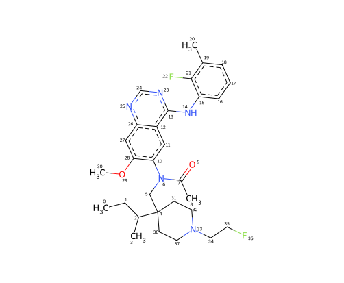 CCC(C)C1(CN(C(C)=O)c2cc3c(Nc4cccc(C)c4F)ncnc3cc2OC)CCN(CCF)CC1